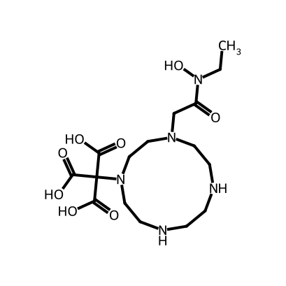 CCN(O)C(=O)CN1CCNCCNCCN(C(C(=O)O)(C(=O)O)C(=O)O)CC1